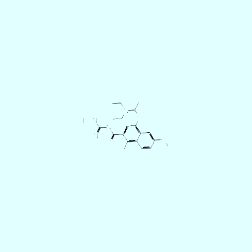 CCN(CC)C(C)Oc1cc(C(=O)NC(=N)N)c(C)c2ccc(OC)cc12